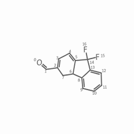 O=CC1=CC=C2C(C1)c1ccccc1C2(F)F